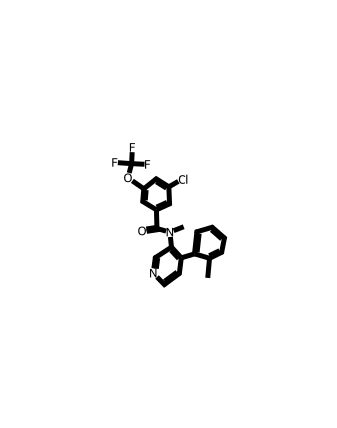 Cc1ccccc1-c1ccncc1N(C)C(=O)c1cc(Cl)cc(OC(F)(F)F)c1